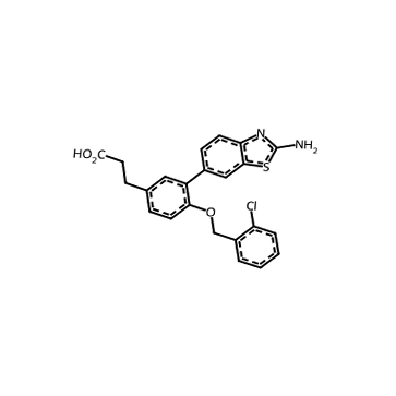 Nc1nc2ccc(-c3cc(CCC(=O)O)ccc3OCc3ccccc3Cl)cc2s1